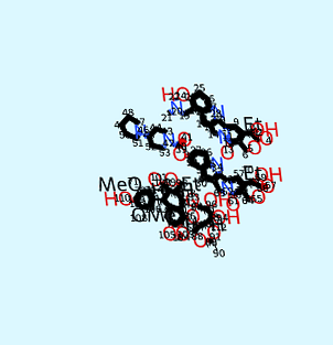 CC[C@@]1(O)C(=O)OCc2c1cc1n(c2=O)Cc2cc3c(CN(C)C)c(O)ccc3nc2-1.CCc1c2c(nc3ccc(OC(=O)N4CCC(N5CCCCC5)CC4)cc13)-c1cc3c(c(=O)n1C2)COC(=O)[C@]3(O)CC.COc1cc([C@@H]2c3cc4c(cc3[C@@H](O[C@@H]3O[C@@H]5CO[C@@H](C)O[C@H]5[C@H](O)[C@H]3O)[C@H]3COC(=O)[C@H]23)OCO4)cc(OC)c1O